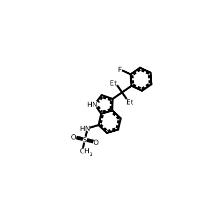 CCC(CC)(c1ccccc1F)c1c[nH]c2c(NS(C)(=O)=O)cccc12